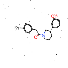 CC(C)c1ccc(CC(=O)N2CCC[C@@H](c3cccc(O)c3)C2)cc1